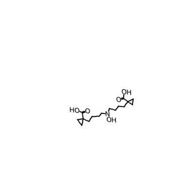 O=C(O)C1(CCCCN(O)CCCCC2(C(=O)O)CC2)CC1